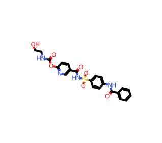 O=C(NCCO)Oc1ccc(C(=O)NS(=O)(=O)c2ccc(NC(=O)c3ccccc3)cc2)cn1